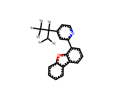 [2H]C([2H])C([2H])(c1ccnc(-c2cccc3c2oc2ccccc23)c1)C([2H])([2H])[2H]